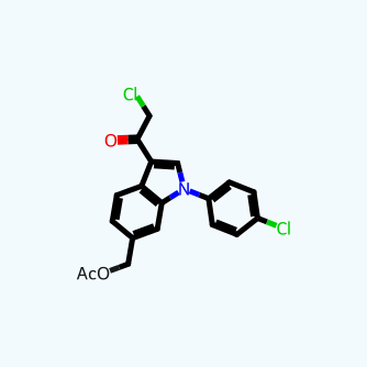 CC(=O)OCc1ccc2c(C(=O)CCl)cn(-c3ccc(Cl)cc3)c2c1